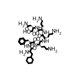 NCCC[C@H](NC(=O)[C@H](CCCN)NC(=O)[C@H](CCCN)NC(=O)[C@@H](Cc1ccccc1)NC(=O)[C@@H](N)CC1CCCCC1)C(=O)N[C@@H](CC(N)=O)C(=O)O